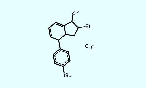 CCC1CC2C(=CC=CC2c2ccc(C(C)(C)C)cc2)[CH]1[Zr+2].[Cl-].[Cl-]